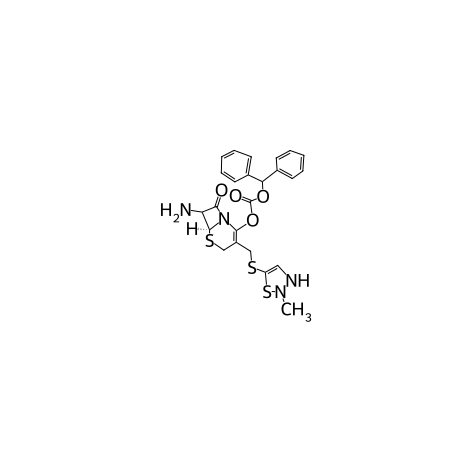 CN1NC=C(SCC2=C(OC(=O)OC(c3ccccc3)c3ccccc3)N3C(=O)C(N)[C@@H]3SC2)S1